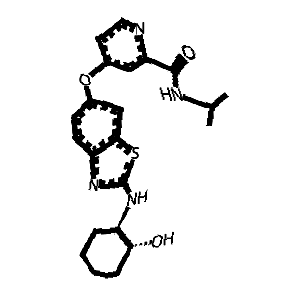 CC(C)NC(=O)c1cc(Oc2ccc3nc(N[C@@H]4CCCC[C@H]4O)sc3c2)ccn1